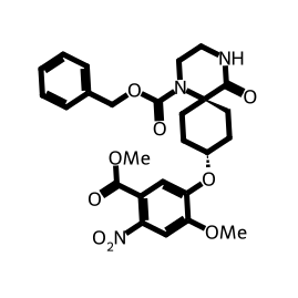 COC(=O)c1cc(O[C@H]2CC[C@]3(CC2)C(=O)NCCN3C(=O)OCc2ccccc2)c(OC)cc1[N+](=O)[O-]